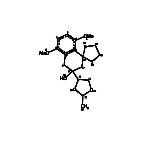 COc1ccc(OC)c2c1CC(O)(C1COC(C)O1)CC21SCCS1